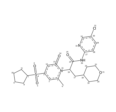 Cc1cc(S(=O)(=O)C2CCCC2)cc(=O)n1C(CC1CCOCC1)C(=O)Nc1ccc(Cl)cn1